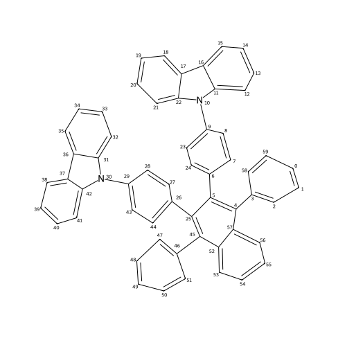 c1ccc(-c2c(-c3ccc(-n4c5ccccc5c5ccccc54)cc3)c(-c3ccc(-n4c5ccccc5c5ccccc54)cc3)c(-c3ccccc3)c3ccccc23)cc1